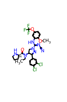 CCN(C(=O)[C@H]1CCCN1)C1CN(C(=NC#N)Nc2cc(OC(F)(F)F)ccc2OC)N=C1c1ccc(Cl)c(Cl)c1